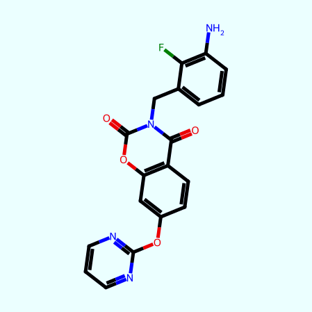 Nc1cccc(Cn2c(=O)oc3cc(Oc4ncccn4)ccc3c2=O)c1F